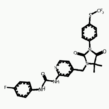 CC1(C)C(=O)N(c2ccc(SC(F)(F)F)cc2)C(=O)N1Cc1ccnc(NC(=O)Nc2ccc(F)cc2)c1